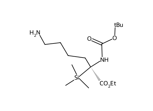 CCOC(=O)[C@](CCCCN)(NC(=O)OC(C)(C)C)[Si](C)(C)C